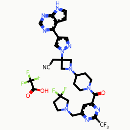 N#CCC1(n2cc(-c3ncnc4[nH]ccc34)cn2)CN(C2CCN(C(=O)c3cc(CN4CCC(F)(F)C4)nc(C(F)(F)F)n3)CC2)C1.O=C(O)C(F)(F)F